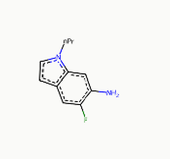 CCCn1ccc2cc(F)c(N)cc21